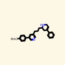 COc1ccc(-c2cncc(CCCC3CC(c4ccccc4)=CCN3)c2)cc1